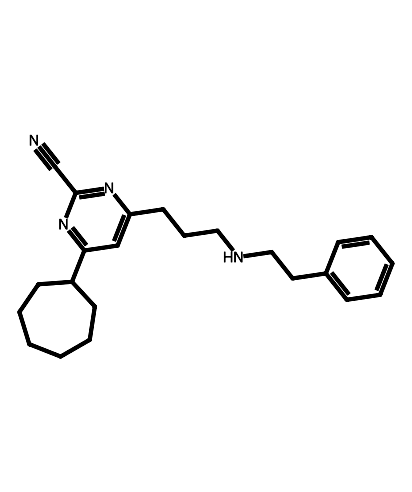 N#Cc1nc(CCCNCCc2ccccc2)cc(C2CCCCCC2)n1